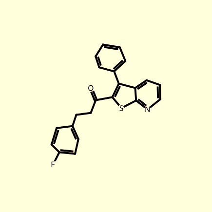 O=C(CCc1ccc(F)cc1)c1sc2ncccc2c1-c1ccccc1